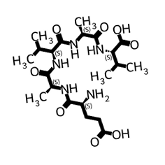 CC(C)[C@H](NC(=O)[C@H](C)NC(=O)[C@@H](NC(=O)[C@H](C)NC(=O)[C@@H](N)CCC(=O)O)C(C)C)C(=O)O